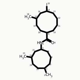 CC1CCCC(NC(=O)C2CCCCC(I)CC(C)CC2)CC(C)CC1